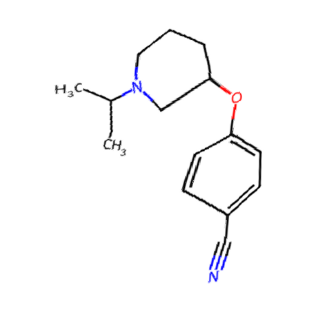 CC(C)N1CCCC(Oc2ccc(C#N)cc2)C1